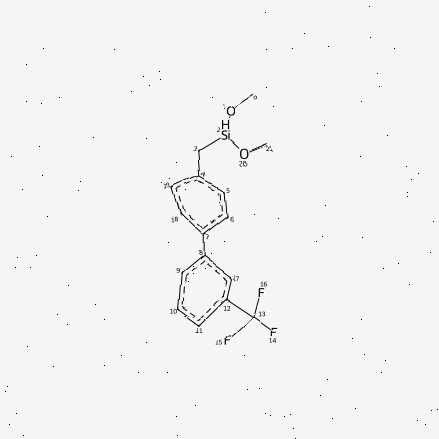 CO[SiH](Cc1ccc(-c2cccc(C(F)(F)F)c2)cc1)OC